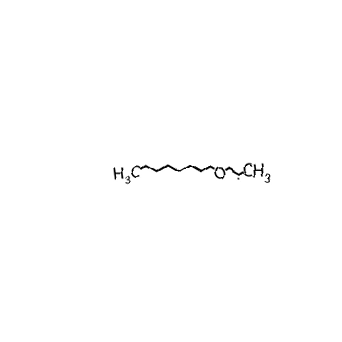 C[CH]COCCCCCCCC